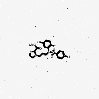 COC(=O)C1SCCN1CC[C@@H](C)N(c1cc(Cl)ccc1Cl)S(=O)(=O)c1ccc(Cl)cc1